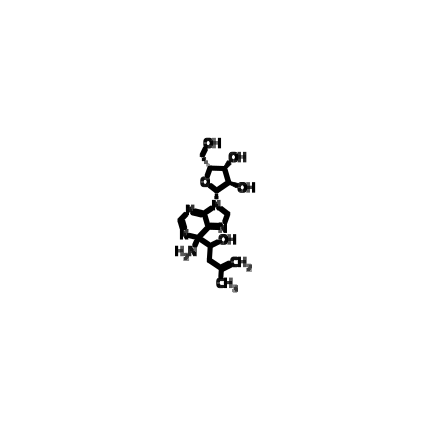 C=C(C)CC(O)C1(N)N=CN=C2C1=NCN2[C@@H]1O[C@H](CO)[C@@H](O)[C@H]1O